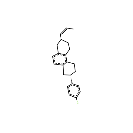 C/C=C\[C@H]1CCc2c(ccc3c2CC[C@H](c2ccc(F)cc2)C3)C1